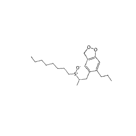 CCCCCCCC[S+]([O-])C(C)Cc1cc2c(cc1CCC)OOC2